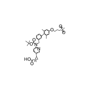 Cc1cc(OCCCS(C)(=O)=O)cc(C)c1-c1cccc(CN(C(=O)OC(C)(C)C)c2ccc(C3C[C@H]3C(=O)O)cn2)c1